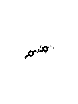 Cc1cc(F)c(C=NN=Cc2ccc(C#N)cc2)c(F)c1